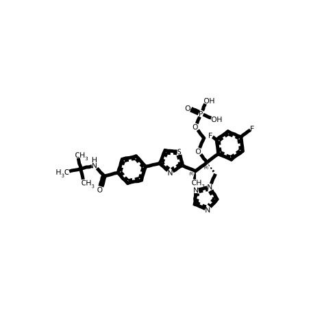 C[C@@H](c1nc(-c2ccc(C(=O)NC(C)(C)C)cc2)cs1)[C@@](Cn1cncn1)(OCOP(=O)(O)O)c1ccc(F)cc1F